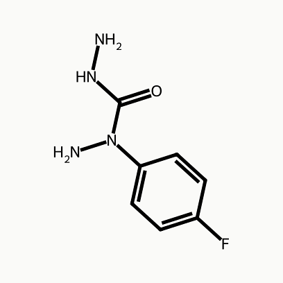 NNC(=O)N(N)c1ccc(F)cc1